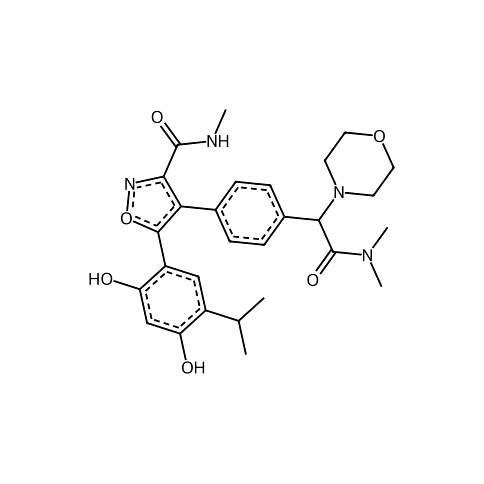 CNC(=O)c1noc(-c2cc(C(C)C)c(O)cc2O)c1-c1ccc(C(C(=O)N(C)C)N2CCOCC2)cc1